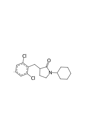 O=C1C(Cc2c(Cl)c[c]cc2Cl)CCN1C1CCCCC1